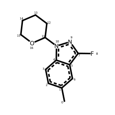 Cc1ccc2c(c1)c(F)nn2C1CCCCO1